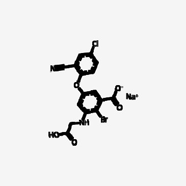 N#Cc1cc(Cl)ccc1Oc1cc(NCC(=O)O)c(Br)c(C(=O)[O-])c1.[Na+]